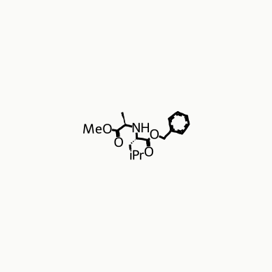 COC(=O)[C@@H](C)N[C@@H](CC(C)C)C(=O)OCc1ccccc1